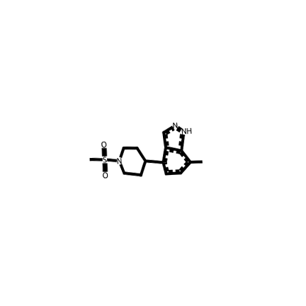 Cc1ccc(C2CCN(S(C)(=O)=O)CC2)c2cn[nH]c12